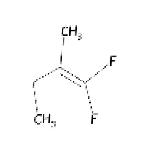 CCC(C)=C(F)F